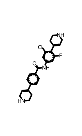 O=C(Nc1cc(F)c(C2=CCNCC2)c(Cl)c1)c1ccc(C2=CCNCC2)cc1